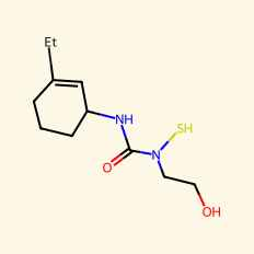 CCC1=CC(NC(=O)N(S)CCO)CCC1